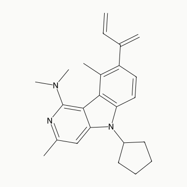 C=CC(=C)c1ccc2c(c1C)c1c(N(C)C)nc(C)cc1n2C1CCCC1